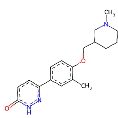 Cc1cc(-c2ccc(=O)[nH]n2)ccc1OCC1CCCN(C)C1